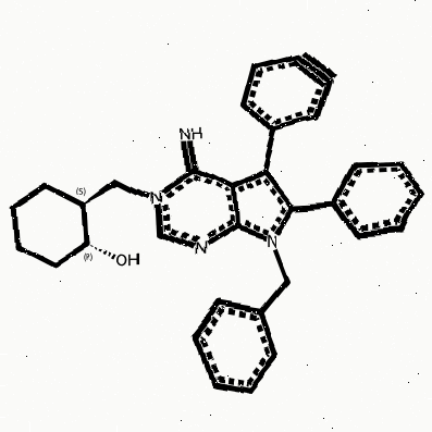 N=c1c2c(-c3cc#ccc3)c(-c3ccccc3)n(Cc3ccccc3)c2ncn1C[C@@H]1CCCC[C@H]1O